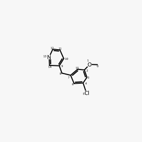 COc1cc(Cl)cc(Cc2cccnc2)c1